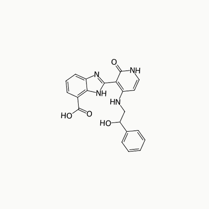 O=C(O)c1cccc2nc(-c3c(NCC(O)c4ccccc4)cc[nH]c3=O)[nH]c12